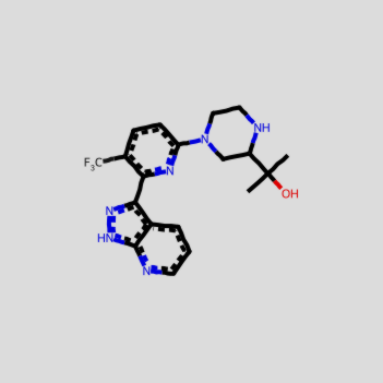 CC(C)(O)C1CN(c2ccc(C(F)(F)F)c(-c3n[nH]c4ncccc34)n2)CCN1